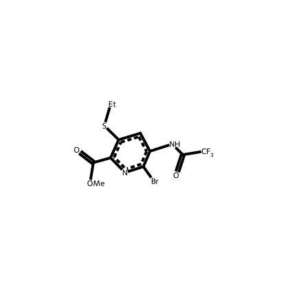 CCSc1cc(NC(=O)C(F)(F)F)c(Br)nc1C(=O)OC